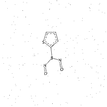 O=NB(N=O)c1cccs1